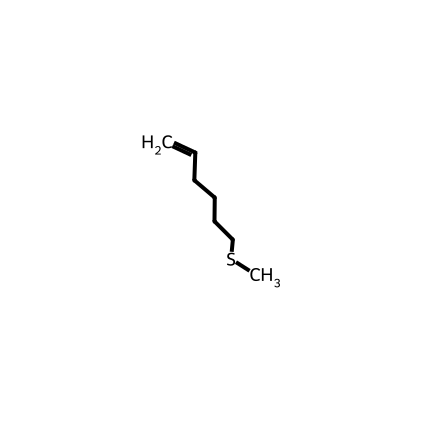 C=CCCCCSC